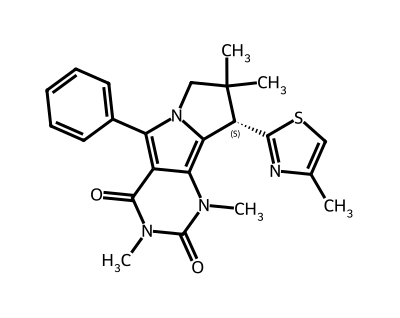 Cc1csc([C@@H]2c3c4c(c(-c5ccccc5)n3CC2(C)C)c(=O)n(C)c(=O)n4C)n1